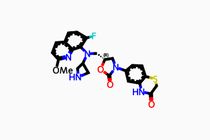 COc1ccc2ccc(F)c(N(C[C@@H]3CN(c4ccc5c(c4)NC(=O)CS5)C(=O)O3)C3CNC3)c2n1